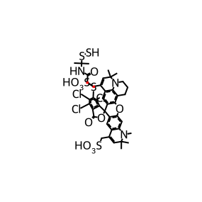 CN1c2cc3c(cc2C(CS(=O)(=O)O)=CC1(C)C)C1(OC(=O)c2c(Cl)c(Cl)c(SCC(=O)NC(C)(C)SS)c(Cl)c21)c1cc2c4c(c1O3)CCCN4C(C)(C)C=C2CS(=O)(=O)O